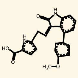 COc1ccc(-c2cccc3c2C(=CCc2ccc(C(=O)O)[nH]2)C(=O)N3)cc1